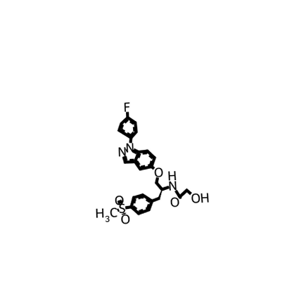 CS(=O)(=O)c1ccc(C[C@@H](COc2ccc3c(cnn3-c3ccc(F)cc3)c2)NC(=O)CO)cc1